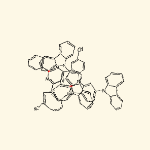 N#Cc1ccc(-n2c3ccccc3c3ccc(-n4c5ccccc5c5ccccc54)cc32)c(-c2nc(-c3ccccc3)nc(-c3cc(C#N)ccc3-n3c4ccccc4c4ccc(-n5c6ccccc6c6ccccc65)cc43)n2)c1